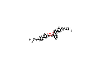 CCCCCC1CCC(c2ccc(OCOCC(Oc3ccc(C4CCC(CCCCC)CC4)cc3)c3ccccc3)cc2)CC1